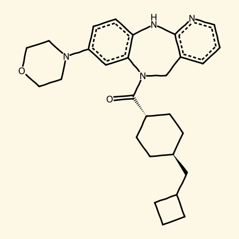 O=C([C@H]1CC[C@H](CC2CCC2)CC1)N1Cc2cccnc2Nc2ccc(N3CCOCC3)cc21